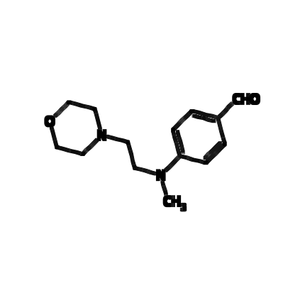 CN(CCN1CCOCC1)c1ccc(C=O)cc1